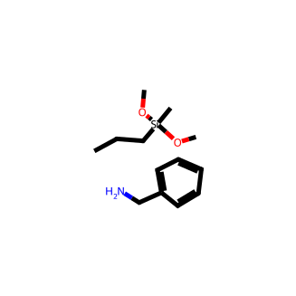 CCC[Si](C)(OC)OC.NCc1ccccc1